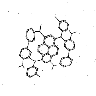 Cc1cccc(N(c2cc(-c3ccccc3)ccc2C(C)C)c2cc(C(C)C)c3ccc4c(N(c5cccc(C)c5)c5cc(-c6ccccc6)ccc5C(C)C)cc(C(C)C)c5ccc2c3c54)c1